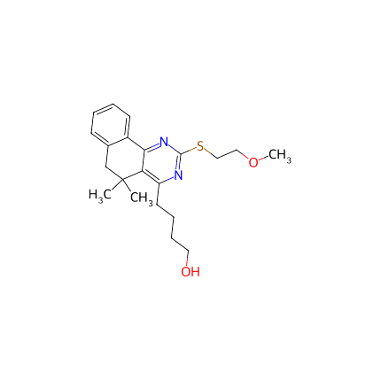 COCCSc1nc(CCCCO)c2c(n1)-c1ccccc1CC2(C)C